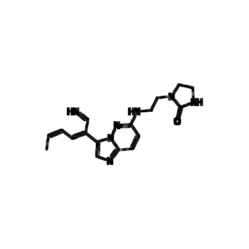 C/C=C\C=C(/C=N)c1cnc2ccc(NCCN3CCNC3=O)nn12